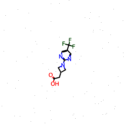 O=C(O)CC1CN(c2ncc(C(F)(F)F)cn2)C1